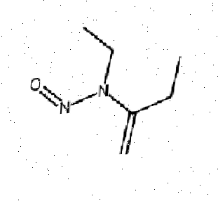 C=C(CC)N(CC)N=O